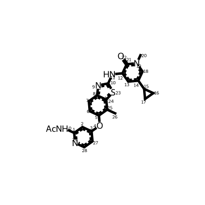 CC(=O)Nc1cc(Oc2ccc3nc(Nc4cc(C5CC5)cn(C)c4=O)sc3c2C)ccn1